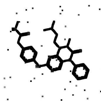 CNC(=O)Cc1ccc(Nc2ncc3c(n2)N(CCC(C)C)C(C)C(=O)N3c2ccccc2)cc1